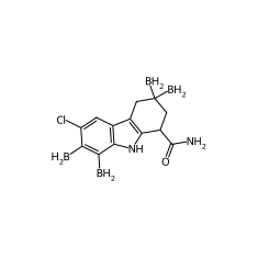 Bc1c(Cl)cc2c3c([nH]c2c1B)C(C(N)=O)CC(B)(B)C3